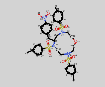 Cc1ccc(S(=O)(=O)N2CCOCCN(S(=O)(=O)c3ccc(C)cc3)CC(Cc3ccc([N+](=O)[O-])cc3)N(S(=O)(=O)c3ccc(C)cc3)CC2)cc1